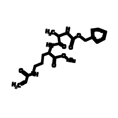 C=CC(=O)NCCCC(NC(=O)C(C)NC(=O)OCc1ccccc1)C(=O)OCCCC